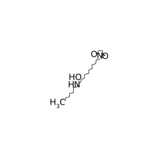 CCCCCCCCNCC(O)CCCCCCCCCN1C(=O)CCC1=O